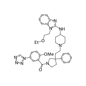 CCOCCn1c(NC2CCN(CCC3(c4ccccc4)CCN(C(=O)c4cc(-n5cnnn5)ccc4OC)C3)CC2)nc2ccccc21